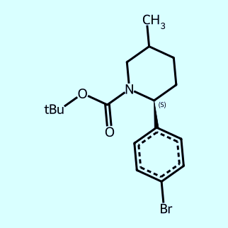 CC1CC[C@@H](c2ccc(Br)cc2)N(C(=O)OC(C)(C)C)C1